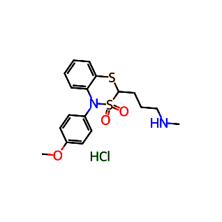 CNCCCC1Sc2ccccc2N(c2ccc(OC)cc2)S1(=O)=O.Cl